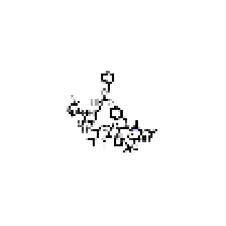 C/C(=C\[C@H](Cc1ccccc1)C(=O)N1CCC[C@H]1C(=O)N[C@H](C(=O)N[C@H](CCCNC(=O)OCc1ccccc1)C(=O)NC1=NCCC(C)S1)C(C)C)[C@H](CC(C)C)NC(=O)OC(C)(C)C